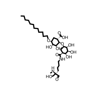 CCCCCCCCCCCCO[C@@H]1C[C@H](C(=O)O)[C@@H](O[C@@H]2C[C@H](C(=O)NCCCC[C@](C=O)(CO)NC)[C@@H](O)[C@H](O)[C@H]2O)[C@H](O)[C@H]1O